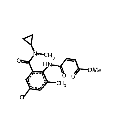 COC(=O)/C=C\C(=O)Nc1c(C)cc(Cl)cc1C(=O)N(C)C1CC1